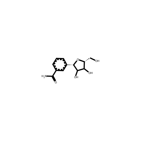 NC(=O)c1cccc([C@@H]2O[C@H](CO)C(O)C2O)c1